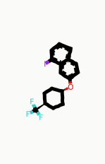 FC(F)(F)[C@H]1CC[C@@H](Oc2ccc3cccc(I)c3c2)CC1